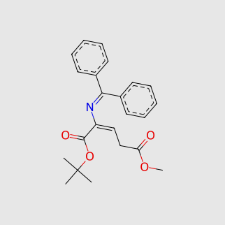 COC(=O)CC=C(N=C(c1ccccc1)c1ccccc1)C(=O)OC(C)(C)C